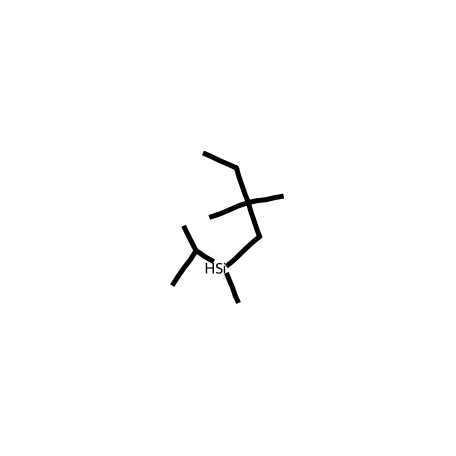 CCC(C)(C)C[SiH](C)C(C)C